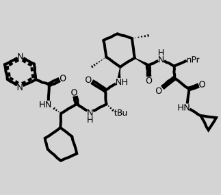 CCCC(NC(=O)[C@H]1[C@@H](NC(=O)[C@@H](NC(=O)[C@@H](NC(=O)c2cnccn2)C2CCCCC2)C(C)(C)C)[C@H](C)CC[C@@H]1C)C(=O)C(=O)NC1CC1